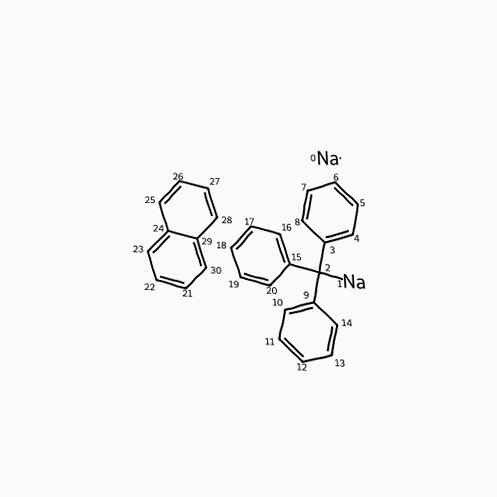 [Na].[Na][C](c1ccccc1)(c1ccccc1)c1ccccc1.c1ccc2ccccc2c1